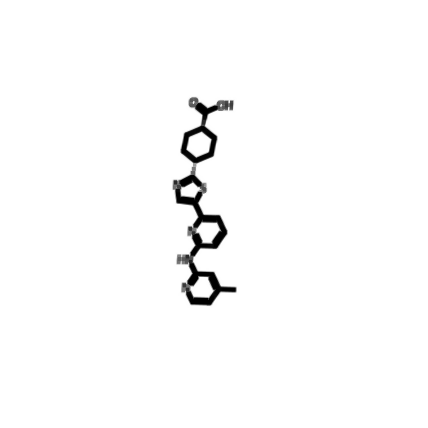 Cc1ccnc(Nc2cccc(-c3cnc([C@H]4CC[C@H](C(=O)O)CC4)s3)n2)c1